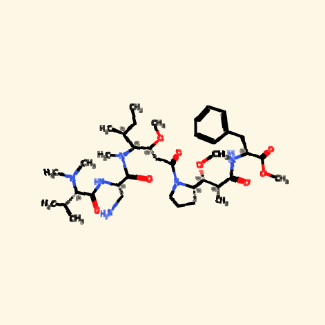 CC[C@H](C)[C@@H]([C@@H](CC(=O)N1CCC[C@H]1[C@H](OC)[C@@H](C)C(=O)N[C@@H](Cc1ccccc1)C(=O)OC)OC)N(C)C(=O)[C@H](CN)NC(=O)[C@H](C(C)C)N(C)C